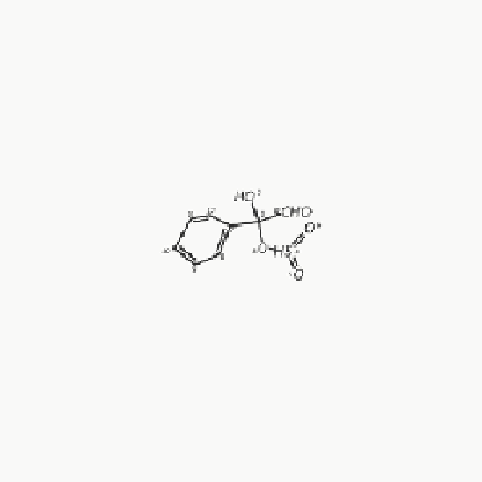 O=[C]C(O)(O[SH](=O)=O)c1ccccc1